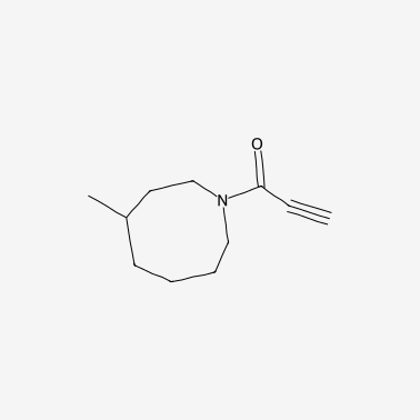 C#CC(=O)N1CCCCC(C)CC1